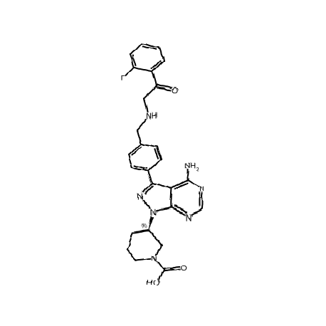 Nc1ncnc2c1c(-c1ccc(CNCC(=O)c3ccccc3F)cc1)nn2[C@@H]1CCCN(C(=O)O)C1